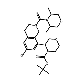 CC1COCC(C)N1C(=O)N1CCc2cc(Cl)cc([C@@H]3COCCN3C(=O)OC(C)(C)C)c2C1